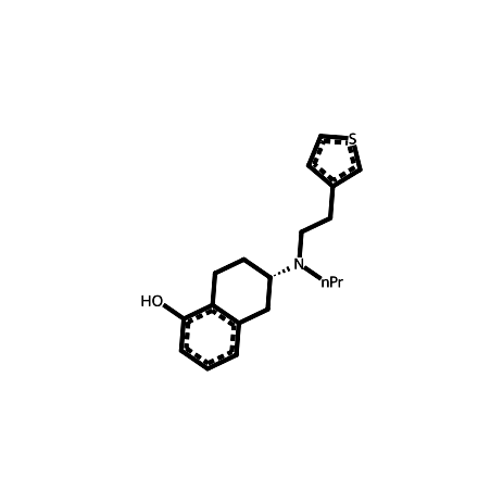 CCCN(CCc1ccsc1)[C@H]1CCc2c(O)cccc2C1